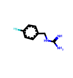 N=C(N)NCc1ccc([18F])cc1